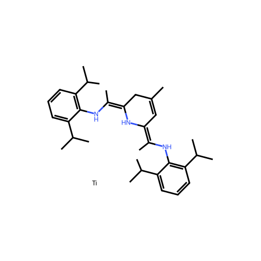 CC1=C/C(=C(/C)Nc2c(C(C)C)cccc2C(C)C)N/C(=C(/C)Nc2c(C(C)C)cccc2C(C)C)C1.[Ti]